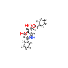 C[C@H](N[C@H]1CC[C@](O)(OCc2ccccc2)C[C@@H]1O)c1ccccc1